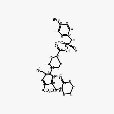 CCOC(=O)c1cc(C#N)c(N2CCC(C(=O)NS(=O)(=O)Cc3ccc(C(C)C)cc3)CC2)nc1CN1CCCCC1=O